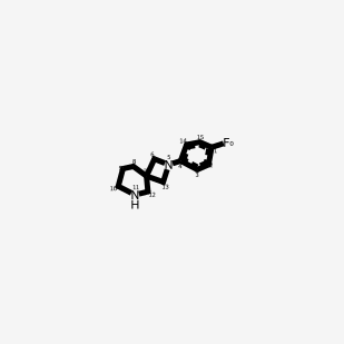 Fc1ccc(N2CC3(CCCNC3)C2)cc1